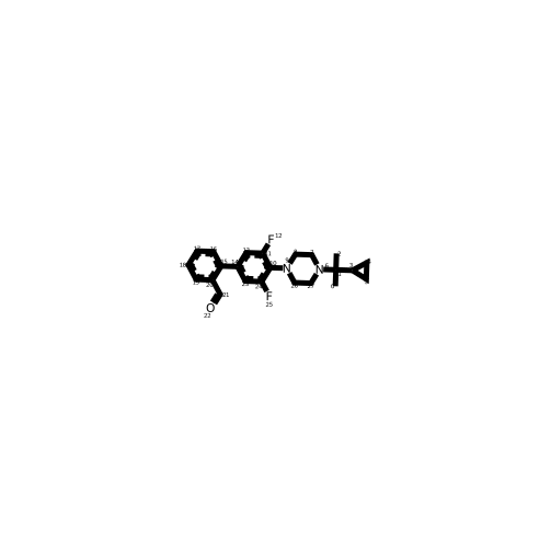 CC(C)(C1CC1)N1CCN(c2c(F)cc(-c3ccccc3C=O)cc2F)CC1